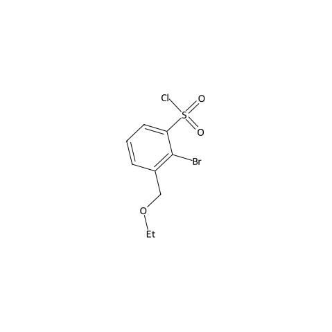 CCOCc1cccc(S(=O)(=O)Cl)c1Br